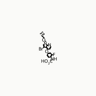 C[Si](C)(C)CCOCn1cc(Br)c2c(Oc3ccc(NC(=O)O)c(F)c3)ccnc21